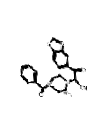 C[C@@H]1CN(C(=O)c2ccccc2)CCN1C(C#N)C(=O)c1ccc2scnc2c1